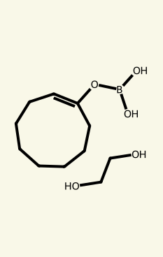 OB(O)OC1=CCCCCCCC1.OCCO